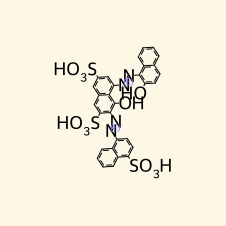 O=S(=O)(O)c1cc(/N=N/c2c(O)ccc3ccccc23)c2c(O)c(/N=N/c3ccc(S(=O)(=O)O)c4ccccc34)c(S(=O)(=O)O)cc2c1